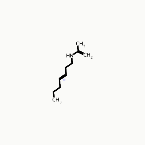 C=C(C)NCC/C=C/CCC